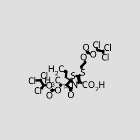 C=CC[C@@]12SC(SCCOC(=O)OC(Cl)C(Cl)Cl)=C(C(=O)O)N1C(=O)[C@@H]2C(C)OC(=O)OC(Cl)C(Cl)Cl